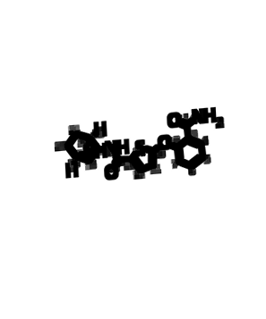 NC(=O)c1ccccc1Oc1ccc(C(=O)N[C@@H]2C[C@H]3CC[C@@H]2N3)s1